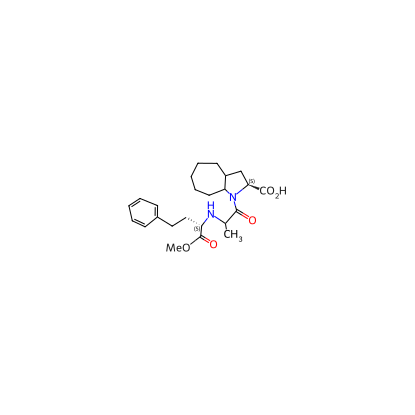 COC(=O)[C@H](CCc1ccccc1)NC(C)C(=O)N1C2CCCCCC2C[C@H]1C(=O)O